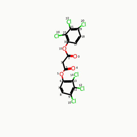 O=C(CC(=O)Oc1ccc(Cl)c(Cl)c1Cl)Oc1ccc(Cl)c(Cl)c1Cl